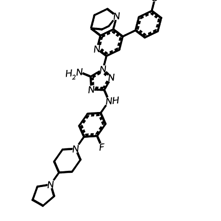 COc1cccc(-c2cc(-n3nc(Nc4ccc(N5CCC(N6CCCC6)CC5)c(F)c4)nc3N)nc3c2N2CCC3CC2)c1